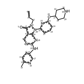 C=CCn1c(=O)c2cnc(Nc3ccc(C)nc3)nc2n1-c1cccc(OC2CCNCC2)n1